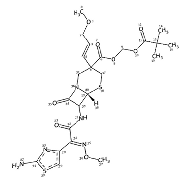 COCC=CC1(C(=O)OCOC(=O)C(C)(C)C)CS[C@@H]2C(NC(=O)C(=NOC)c3csc(N)n3)C(=O)N2C1